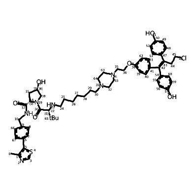 Cc1ncsc1-c1ccc(CNC(=O)[C@@H]2C[C@@H](O)CN2C(=O)[C@@H](NCCCCCCCN2CCN(CCOc3ccc(C(=C(CCCl)c4ccc(O)cc4)c4ccc(O)cc4)cc3)CC2)C(C)(C)C)cc1